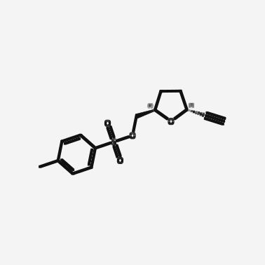 C#C[C@H]1CC[C@H](COS(=O)(=O)c2ccc(C)cc2)O1